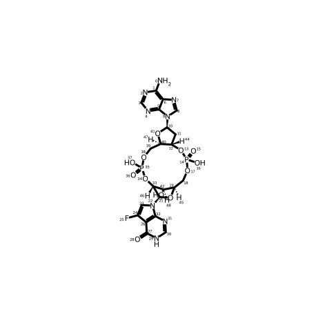 Nc1ncnc2c1ncn2[C@H]1C[C@@H]2OP(=O)(O)OC[C@H]3O[C@@H](n4cc(F)c5c(=O)[nH]cnc54)[C@H](OP(=O)(O)OC[C@H]2O1)[C@@H]3O